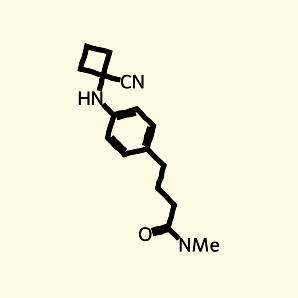 CNC(=O)CCCc1ccc(NC2(C#N)CCC2)cc1